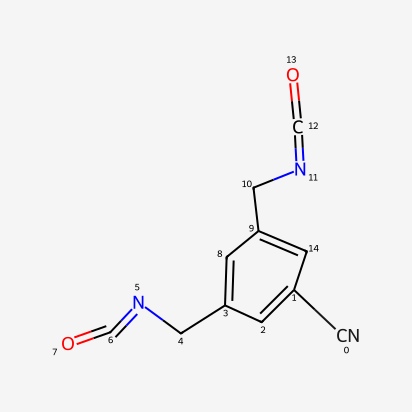 N#Cc1cc(CN=C=O)cc(CN=C=O)c1